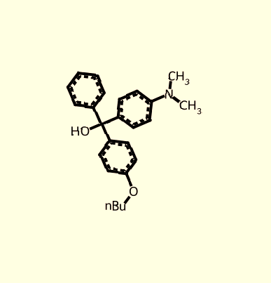 CCCCOc1ccc(C(O)(c2ccccc2)c2ccc(N(C)C)cc2)cc1